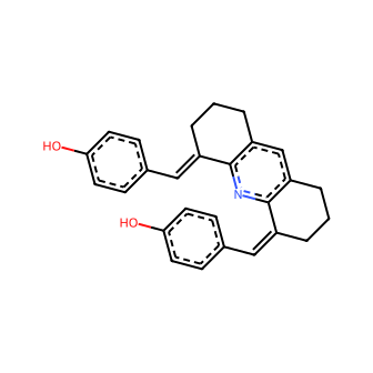 Oc1ccc(/C=C2/CCCc3cc4c(nc32)/C(=C/c2ccc(O)cc2)CCC4)cc1